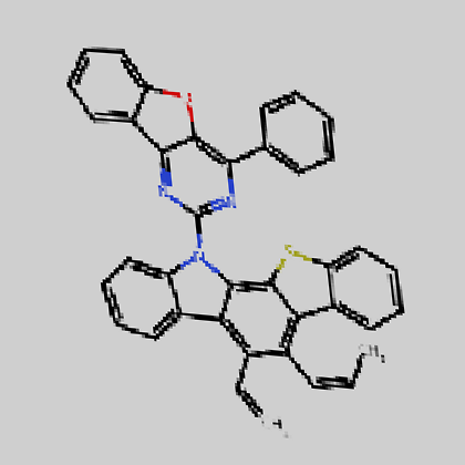 C=Cc1c(/C=C\C)c2c3ccccc3sc2c2c1c1ccccc1n2-c1nc(-c2ccccc2)c2oc3ccccc3c2n1